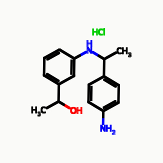 CC(O)c1cccc(NC(C)c2ccc(N)cc2)c1.Cl